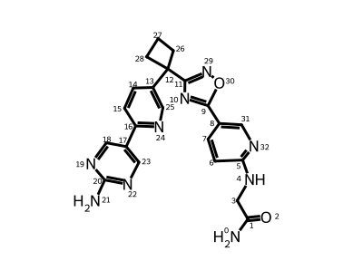 NC(=O)CNc1ccc(-c2nc(C3(c4ccc(-c5cnc(N)nc5)nc4)CCC3)no2)cn1